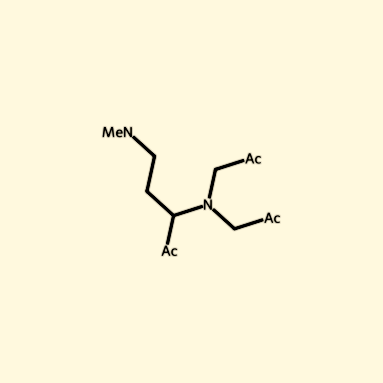 CNCCC(C(C)=O)N(CC(C)=O)CC(C)=O